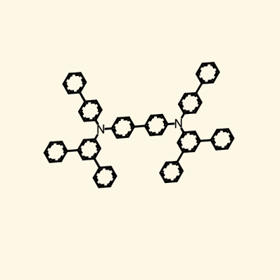 c1ccc(-c2ccc(N(c3ccc(-c4ccc(N(c5ccc(-c6ccccc6)cc5)c5cc(-c6ccccc6)cc(-c6ccccc6)c5)cc4)cc3)c3cc(-c4ccccc4)cc(-c4ccccc4)c3)cc2)cc1